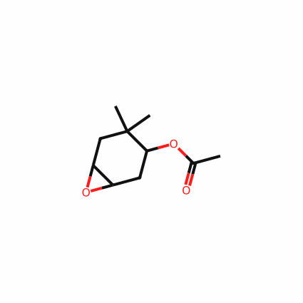 CC(=O)OC1CC2OC2CC1(C)C